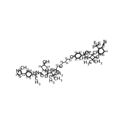 Cc1ncsc1-c1ccc([C@H](C)NC(=O)[C@@H]2C[C@@H](O)CN2C(=O)[C@@H](NC(=O)COCCCCOc2ccc(C(=O)NC3C(C)(C)C(Oc4ccc(C#N)c(C(F)(F)F)c4)C3(C)C)cc2)C(C)(C)C)cc1